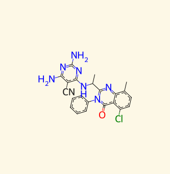 Cc1ccc(Cl)c2c(=O)n(-c3ccccc3)c(C(C)Nc3nc(N)nc(N)c3C#N)nc12